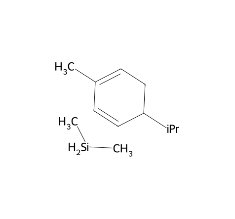 CC1=CCC(C(C)C)C=C1.C[SiH2]C